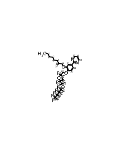 CCCCCCC(F)COc1cc(-c2ncccn2)ccc1OCC(F)(F)OC(F)(F)C(F)(F)OC(F)(F)C(F)(F)C(F)(F)C(F)(F)F